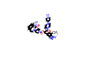 Cc1cc(CC(OC(=O)N2CCC(N3CCc4ccccc4NC3=O)CC2)C(=O)N2CCN(C3CCNCC3)CC2)cc2nn[nH]c12